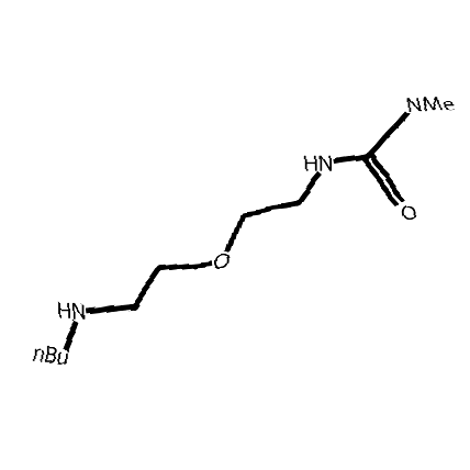 CCCCNCCOCCNC(=O)NC